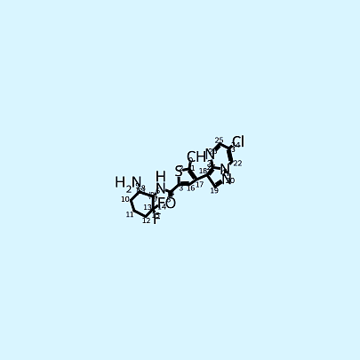 Cc1sc(C(=O)N[C@@H]2[C@@H](N)CCCC2(F)F)cc1-c1cnn2cc(Cl)cnc12